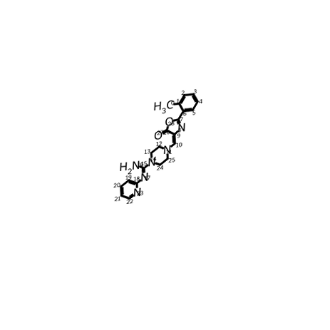 Cc1ccccc1C1=NC(=CN2CCN(C(N)=Nc3ccccn3)CC2)C(=O)O1